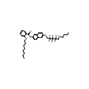 CCCCCCCCOc1ccccc1C(=O)Oc1ccc2cc(OCC(F)(F)C(F)(F)C(F)(F)COCCCC)ccc2c1